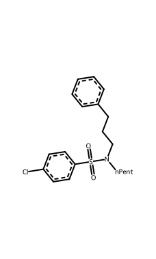 CCCCCN(CCCc1ccccc1)S(=O)(=O)c1ccc(Cl)cc1